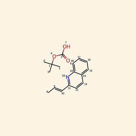 CC(C)(C)OC(=O)O.CC=Cc1ccc2ccccc2n1